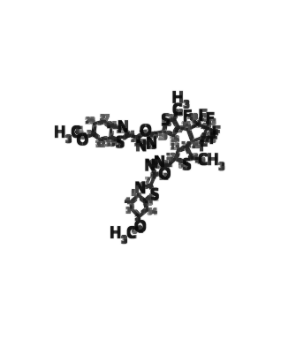 COc1ccc2nc(-c3nnc(-c4cc(C5=C(c6cc(-c7nnc(-c8nc9ccc(OC)cc9s8)o7)sc6C)C(F)(F)C(F)(F)C5(F)F)c(C)s4)o3)sc2c1